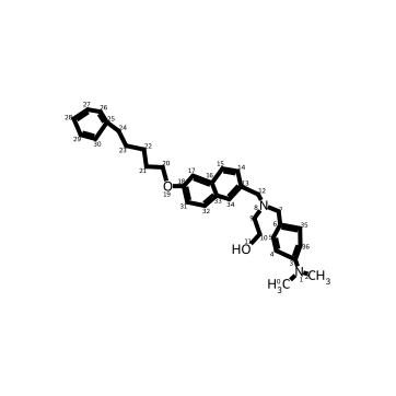 CN(C)c1ccc(CN(CCO)Cc2ccc3cc(OCCCCCc4ccccc4)ccc3c2)cc1